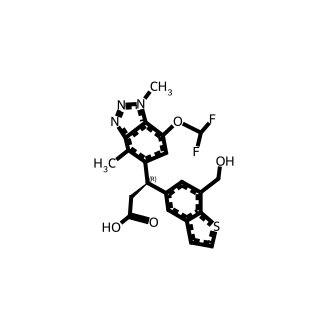 Cc1c([C@H](CC(=O)O)c2cc(CO)c3sccc3c2)cc(OC(F)F)c2c1nnn2C